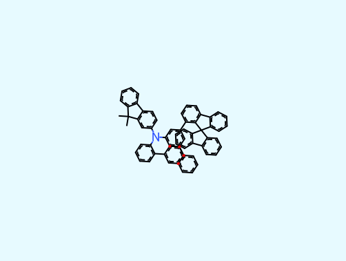 CC1(C)c2ccccc2-c2ccc(N(c3cc(-c4ccccc4)cc(-c4cccc5c4C4(c6ccccc6-c6ccccc64)c4ccccc4-5)c3)c3ccccc3-c3ccccc3)cc21